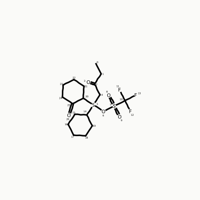 CCC(=O)CS(OS(=O)(=O)C(F)(F)F)(C1CCCCC1)C1CCCCC1=O